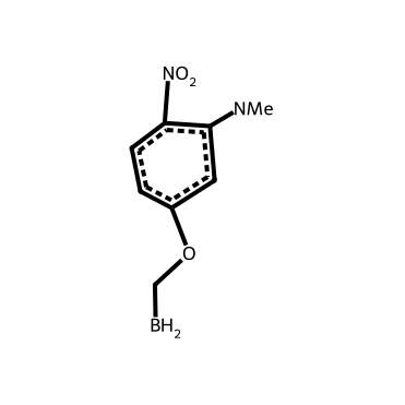 BCOc1ccc([N+](=O)[O-])c(NC)c1